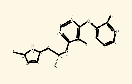 Cc1ncccc1Oc1ncnc(O[C@H](C)CC2C=CC(C)N2)c1C